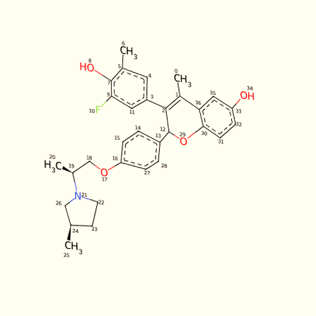 CC1=C(c2cc(C)c(O)c(F)c2)C(c2ccc(OC[C@H](C)N3CC[C@@H](C)C3)cc2)Oc2ccc(O)cc21